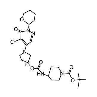 CC(C)(C)OC(=O)N1CCC(NC(=O)O[C@@H]2CCN(c3cnn(C4CCCCO4)c(=O)c3Cl)C2)CC1